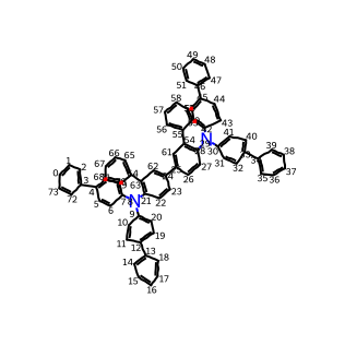 c1ccc(-c2ccc(N(c3ccc(-c4ccccc4)cc3)c3ccc(-c4ccc(N(c5ccc(-c6ccccc6)cc5)c5ccc(-c6ccccc6)cc5)c(-c5ccccc5)c4)cc3-c3ccccc3)cc2)cc1